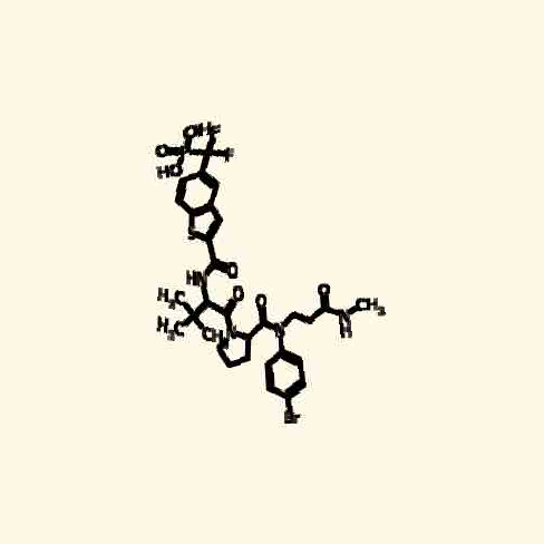 CNC(=O)CCN(C(=O)C1CCCN1C(=O)C(NC(=O)c1cc2cc(C(F)(F)P(=O)(O)O)ccc2s1)C(C)(C)C)c1ccc(Br)cc1